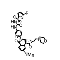 CNc1ccc2c(=O)n(-c3ccc(NC(=O)NS(=O)(=O)c4ccc(F)s4)cn3)cc(C(=O)NCCN3CCOCC3)c2c1